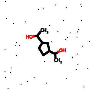 CC(O)C1CCC(C(C)O)C1